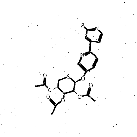 CC(=O)O[C@@H]1[C@@H](OC(C)=O)[C@H](OC(C)=O)CS[C@H]1Oc1ccc(-c2ccnc(F)c2)nc1